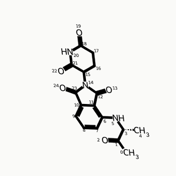 CC(=O)[C@@H](C)Nc1cccc2c1C(=O)N(C1CCC(=O)NC1=O)C2=O